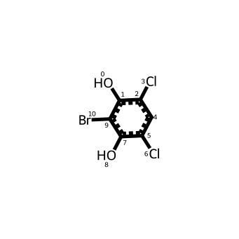 Oc1c(Cl)cc(Cl)c(O)c1Br